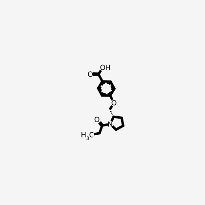 CCC(=O)N1CCC[C@H]1COc1ccc(C(=O)O)cc1